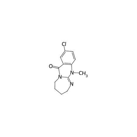 CN1C2=NCCCCN2C(=O)c2cc(Cl)ccc21